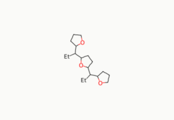 CCC(C1CCCO1)C1CCC(C(CC)C2CCCO2)O1